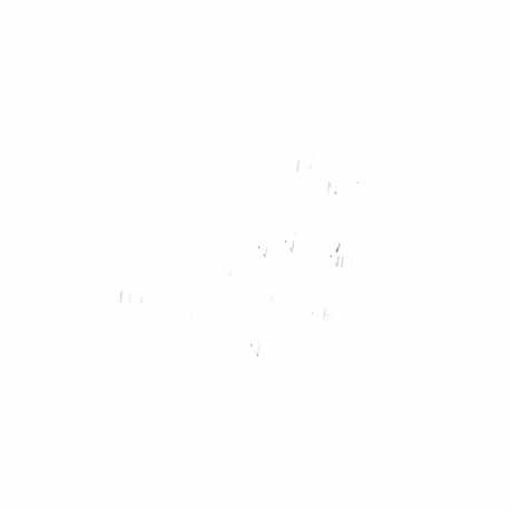 Cc1ccc(-c2cc(C)c(N[C@@H]3CCCN(C)C3)nn2)c(C#N)c1